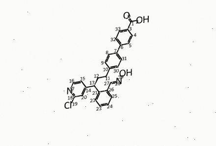 O=C(O)c1ccc(-c2ccc(CC[C@H](c3ccnc(Cl)c3)c3ccccc3/C=N/O)cc2)cc1